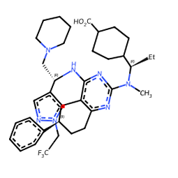 CC[C@H](C1CCC(C(=O)O)CC1)N(C)c1nc2c(c(N[C@@H](CN3CCCCC3)c3cnn(CC(F)(F)F)c3)n1)C[C@H](c1ccccc1)CC2